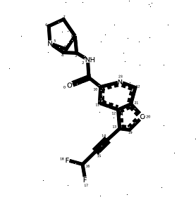 O=C(NC1CN2CCC1C2)c1cc2c(C#CC(F)F)coc2cn1